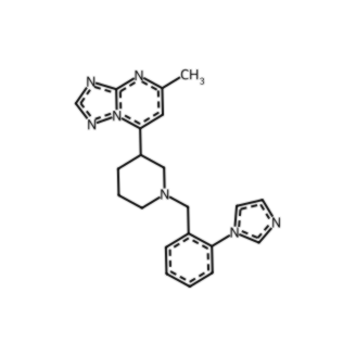 Cc1cc(C2CCCN(Cc3ccccc3-n3ccnc3)C2)n2ncnc2n1